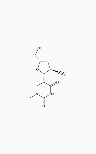 C#C[C@@H]1C[C@@H](CO)O[C@H]1C1CN(C)C(=O)NC1=O